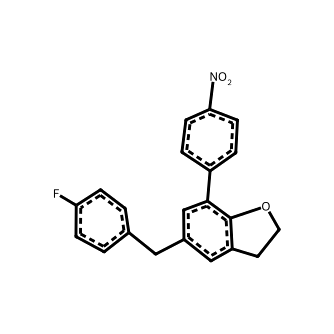 O=[N+]([O-])c1ccc(-c2cc(Cc3ccc(F)cc3)cc3c2OCC3)cc1